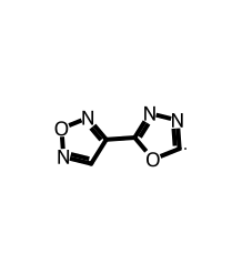 [c]1nnc(-c2cnon2)o1